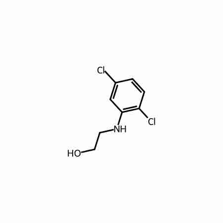 OCCNc1cc(Cl)ccc1Cl